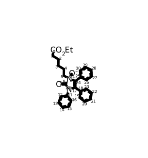 CCOC(=O)CCCCC[N+]1([O-])C(=O)N(c2ccccc2)C(c2ccccc2)=C1c1ccccc1